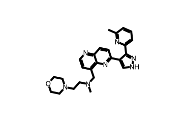 Cc1cccc(-c2n[nH]cc2-c2ccc3nccc(CN(C)CCN4CCOCC4)c3n2)n1